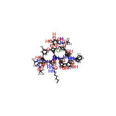 CCCCCCNC(=O)NC(=O)C[C@@H]1NC(=O)[C@H](NC(=O)[C@@H](CC(C)C)N(C)C(=O)OC(C)(C)C)[C@H](O)c2ccc(c(C)c2)Oc2cc3cc(c2O[C@@H]2O[C@H](CNC(=O)OC(C)(C)C)[C@@H](O)[C@H](O)[C@H]2O)Oc2ccc(cc2Cl)[C@@H](O)[C@@H]2NC(=O)[C@H](NC(=O)C3NC1=O)c1ccc(O)c(c1)-c1c(O)cc(O)cc1[C@@H](C(=O)NC1C3CC4CC(C3)CC1C4)NC2=O